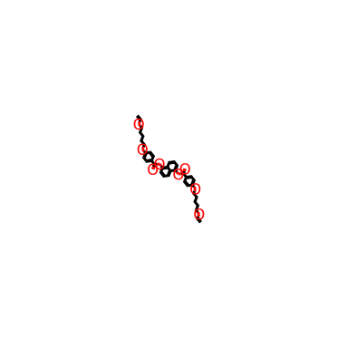 C=COCCCCCOc1ccc(C(=O)Oc2cccc3c(OC(=O)c4ccc(OCCCCCOC=C)cc4)cccc23)cc1